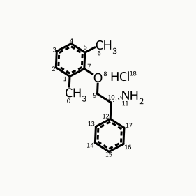 Cc1cccc(C)c1OC[C@H](N)c1ccccc1.Cl